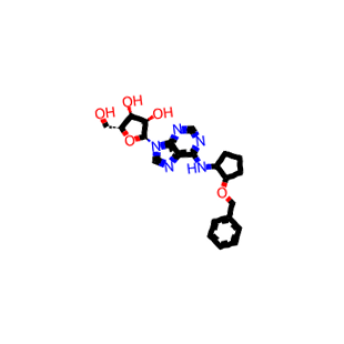 OC[C@H]1O[C@@H](n2cnc3c(NC4CCCC4OCc4ccccc4)ncnc32)[C@H](O)[C@@H]1O